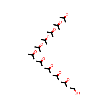 CC(C)=O.CC(C)=O.CC(C)=O.CC(C)=O.CC(C)=O.CC(C)=O.CC(C)=O.CC(C)=O.CC(C)=O.CC(C)=O.CCO